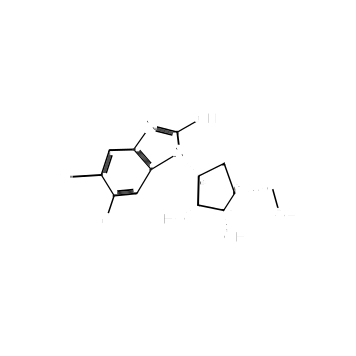 Cc1nc2cc(Cl)c(Cl)cc2n1[C@@H]1C[C@H](CO)[C@H](O)[C@@H]1O